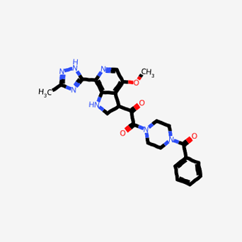 COc1cnc(-c2nc(C)n[nH]2)c2c1C(C(=O)C(=O)N1CCN(C(=O)c3ccccc3)CC1)CN2